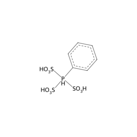 O=S(=O)(O)[PH](c1ccccc1)(S(=O)(=O)O)S(=O)(=O)O